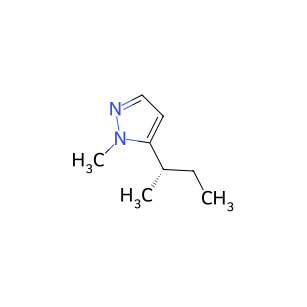 CC[C@H](C)c1ccnn1C